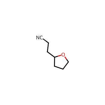 N#CCCC1CCCO1